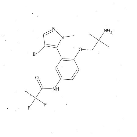 Cn1ncc(Br)c1-c1cc(NC(=O)C(F)(F)F)ccc1OCC(C)(C)N